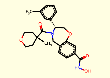 CC1(C(=O)N2Cc3ccc(C(=O)NO)cc3OC[C@H]2c2cccc(C(F)(F)F)c2)CCOCC1